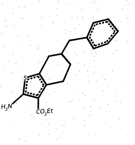 CCOC(=O)c1c(N)sc2c1CCC(Cc1ccccc1)C2